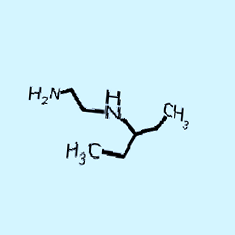 CCC(CC)NCCN